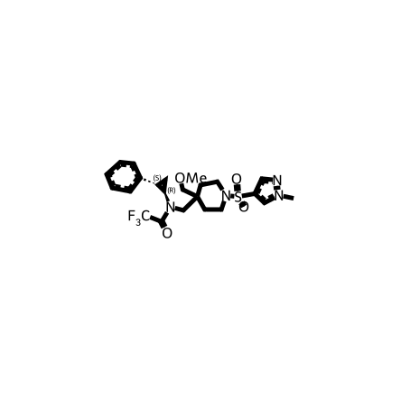 COCC1(CN(C(=O)C(F)(F)F)[C@@H]2C[C@H]2c2ccccc2)CCN(S(=O)(=O)c2cnn(C)c2)CC1